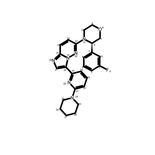 Fc1cccc([C@@H]2COCCN2c2ccc3ncc(-c4cccc(N5CCCCC5)n4)n3n2)c1